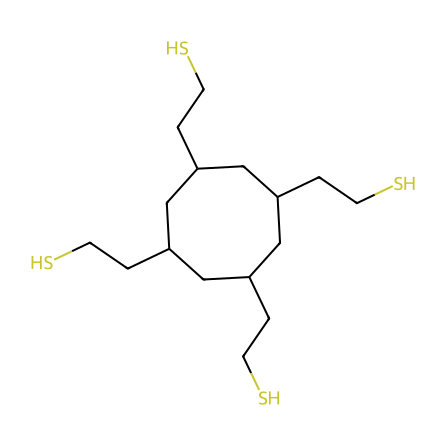 SCCC1CC(CCS)CC(CCS)CC(CCS)C1